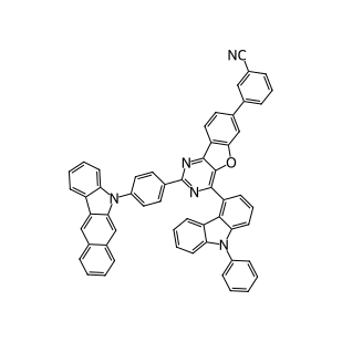 N#Cc1cccc(-c2ccc3c(c2)oc2c(-c4cccc5c4c4ccccc4n5-c4ccccc4)nc(-c4ccc(-n5c6ccccc6c6cc7ccccc7cc65)cc4)nc23)c1